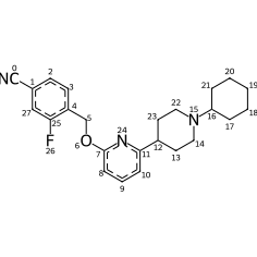 N#Cc1ccc(COc2cccc(C3CCN(C4CCCCC4)CC3)n2)c(F)c1